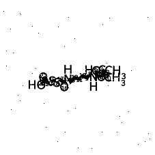 CC(C)(C)OC(=O)NCCCCCCNC(=O)CSSCC(=O)O